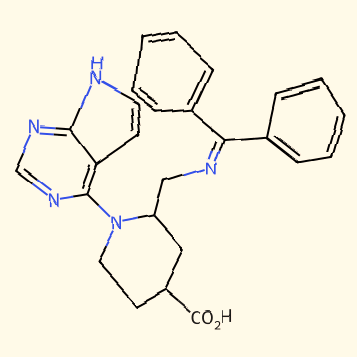 O=C(O)C1CCN(c2ncnc3[nH]ccc23)C(CN=C(c2ccccc2)c2ccccc2)C1